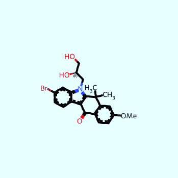 COc1ccc2c(c1)C(C)(C)c1c(c3ccc(Br)cc3n1C[C@@H](O)CO)C2=O